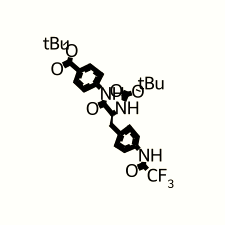 CC(C)(C)OC(=O)N[C@@H](Cc1ccc(NC(=O)C(F)(F)F)cc1)C(=O)Nc1ccc(C(=O)OC(C)(C)C)cc1